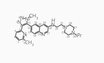 Cc1cccc(-c2nnn(C)c2-c2ccc3ncc(NCCN4CCN(C(C)C)CC4)cc3c2)n1